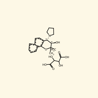 CC1(C)Oc2c(ccc3ccccc23)[C@H](N2CCCC2)[C@H]1O.O=C(O)C(O)C(O)C(=O)O